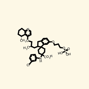 C[C@@H](COc1ccnc2c1[C@H](C)CCC2)CC1Cc2ccc(OCCCOP(=O)(O)O)cc2C12CCC(Nc1cccc(Cl)c1)(C(=O)O)CC2